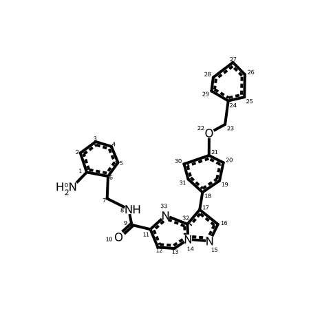 Nc1ccccc1CNC(=O)c1ccn2ncc(-c3ccc(OCc4ccccc4)cc3)c2n1